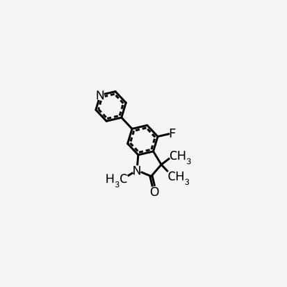 CN1C(=O)C(C)(C)c2c(F)cc(-c3ccncc3)cc21